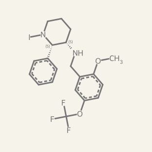 COc1ccc(OC(F)(F)F)cc1CN[C@H]1CCCN(I)[C@H]1c1ccccc1